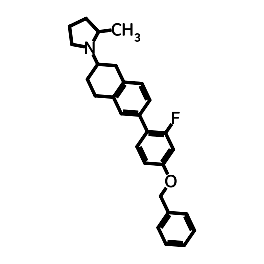 CC1CCCN1C1CCc2cc(-c3ccc(OCc4ccccc4)cc3F)ccc2C1